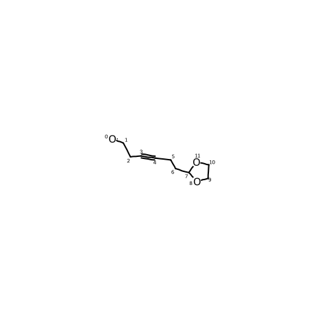 [O]CCC#CCCC1OCCO1